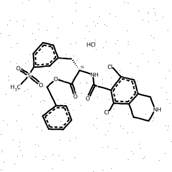 CS(=O)(=O)c1cccc(C[C@H](NC(=O)c2c(Cl)cc3c(c2Cl)CCNC3)C(=O)OCc2ccccc2)c1.Cl